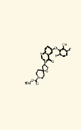 CC(C)(C)OC(=O)N1CCC2(CC1)C[C@@H](n1cnc3ccc(Oc4c(F)ccc(F)c4C#N)cc3c1=O)CO2